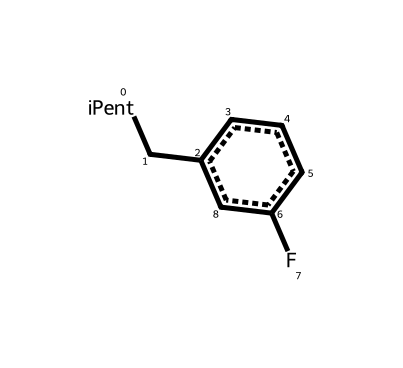 CCCC(C)Cc1cccc(F)c1